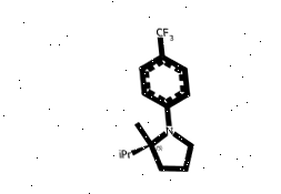 CC(C)[C@]1(C)CCCN1c1ccc(C(F)(F)F)cc1